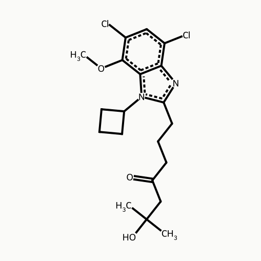 COc1c(Cl)cc(Cl)c2nc(CCCC(=O)CC(C)(C)O)n(C3CCC3)c12